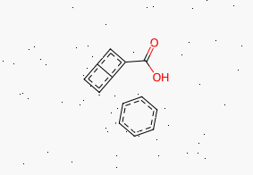 O=C(O)c1cc2c[c]c1-2.[c]1ccccc1